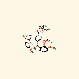 COc1cccc(C(=O)C2CCN(C(=O)OC(C)(C)C)CC2)c1OC.COc1cccc(C2(C=O)CCNCC2)c1OC